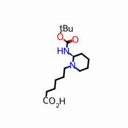 CC(C)(C)OC(=O)N[C@H]1CCCCN1CCCCCC(=O)O